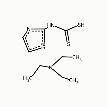 CCN(CC)CC.S=C(S)Nc1nccs1